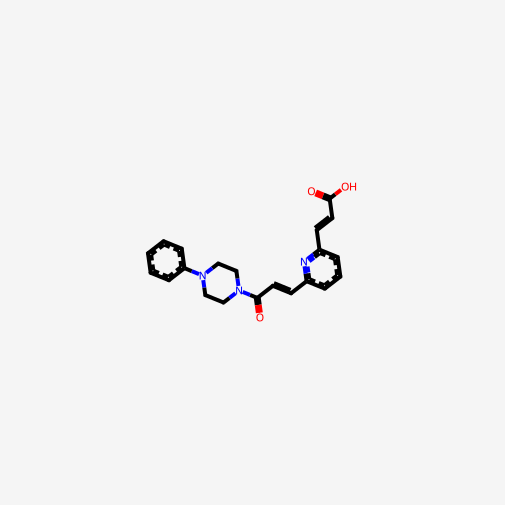 O=C(O)C=Cc1cccc(C=CC(=O)N2CCN(c3ccccc3)CC2)n1